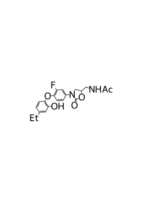 CCc1ccc(Oc2ccc(N3CC(CNC(C)=O)OC3=O)cc2F)c(O)c1